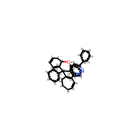 C1=CCC2Oc3ccccc3C(C3=C(c4ccc(-c5ccccc5)nn4)C=CCCC3)(c3ccccc3)C2=C1